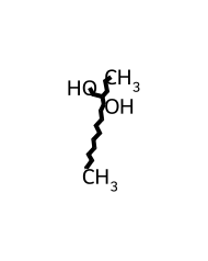 CCCCCCCCCCC(O)C(CO)CCC